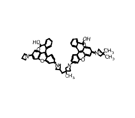 CC1(C)C[N+](=c2ccc3c(-c4ccccc4C(=O)O)c4ccc(N5CC(C)(CC6C[N+](=c7ccc8c(-c9ccccc9C(=O)O)c9ccc(N%10CCC%10)cc9oc-8c7)C6)C5)cc4oc-3c2)C1